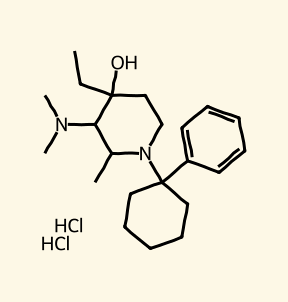 CCC1(O)CCN(C2(c3ccccc3)CCCCC2)C(C)C1N(C)C.Cl.Cl